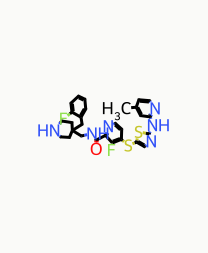 Cc1ccnc(Nc2ncc(Sc3ccnc(C(=O)NCC4(Cc5ccccc5F)CCNCC4)c3F)s2)c1